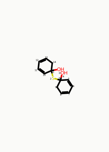 OC1(SC2(O)C=CC=CC2)C=CC=CC1